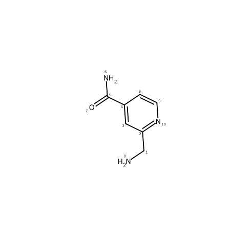 NCc1cc(C(N)=O)ccn1